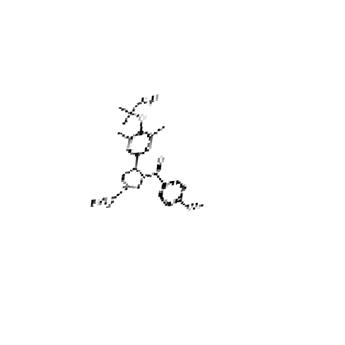 CCOC(=O)N1CC(C(=O)c2ccc(SC)cc2)C(c2cc(C)c(OC(C)(C)C(=O)O)c(C)c2)C1